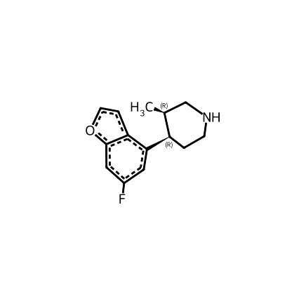 C[C@H]1CNCC[C@H]1c1cc(F)cc2occc12